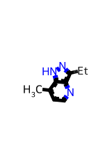 CCc1n[nH]c2c(C)ccnc12